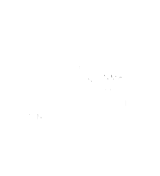 CCS(=O)(=O)c1ccc(NC(C)=O)cc1N(NC)C(=O)C(F)(F)F